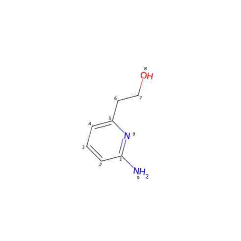 Nc1cccc(CCO)n1